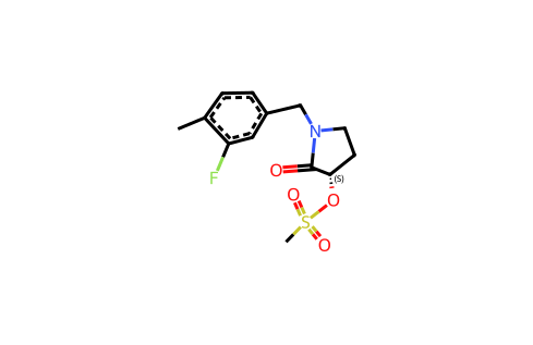 Cc1ccc(CN2CC[C@H](OS(C)(=O)=O)C2=O)cc1F